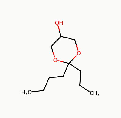 CCCCC1(CCC)OCC(O)CO1